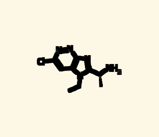 CCn1c([C@@H](C)N)nc2nnc(Cl)cc21